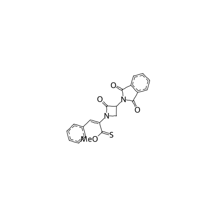 COC(=S)C(=Cc1ccccc1)N1CC(N2C(=O)c3ccccc3C2=O)C1=O